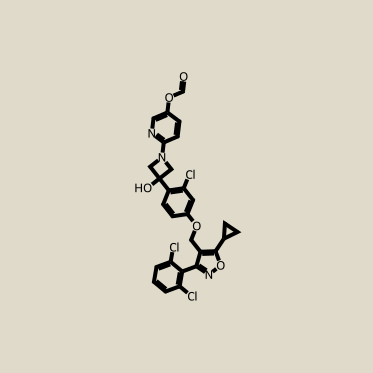 O=COc1ccc(N2CC(O)(c3ccc(OCc4c(-c5c(Cl)cccc5Cl)noc4C4CC4)cc3Cl)C2)nc1